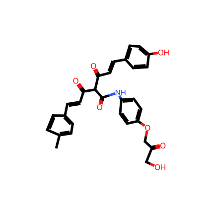 Cc1ccc(/C=C/C(=O)C(C(=O)/C=C/c2ccc(O)cc2)C(=O)Nc2ccc(OCC(=O)CO)cc2)cc1